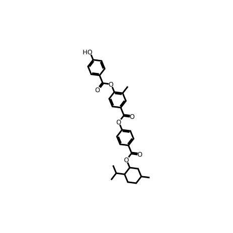 Cc1cc(C(=O)Oc2ccc(C(=O)OC3CC(C)CCC3C(C)C)cc2)ccc1OC(=O)c1ccc(O)cc1